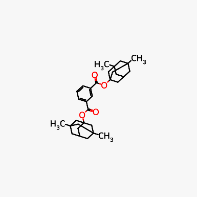 CC12CC3CC(C)(C1)CC(OC(=O)c1cccc(C(=O)OC45CC6CC(C)(CC(C)(C6)C4)C5)c1)(C3)C2